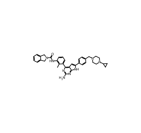 Cc1c(NC(=O)N2Cc3ccccc3C2)cccc1-c1nc(N)nc2[nH]c(-c3ccc(CN4CCN(C5CC5)CC4)cc3)cc12